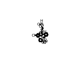 CS(=O)(=O)NC1CCCCC1N1C(=O)c2ccccc2C(C(=O)NOCc2n[nH]c(=O)o2)C1c1ccc(Cl)cc1Cl